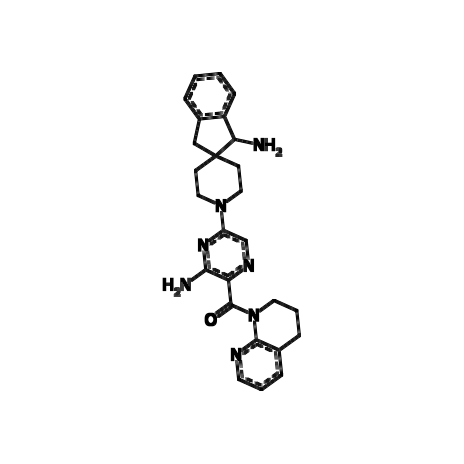 Nc1nc(N2CCC3(CC2)Cc2ccccc2C3N)cnc1C(=O)N1CCCc2cccnc21